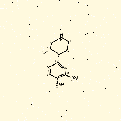 COc1ccc([C@H]2CCNC[C@H]2C)cc1C(=O)O